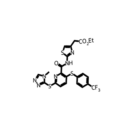 CCOC(=O)Cc1csc(NC(=O)c2nc(Sc3nncn3C)ccc2Sc2ccc(C(F)(F)F)cc2)n1